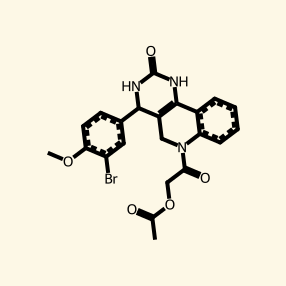 COc1ccc(C2NC(=O)NC3=C2CN(C(=O)COC(C)=O)c2ccccc23)cc1Br